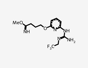 COC(=N)CCCOc1cccc(NC(N)=NCC(F)(F)F)n1